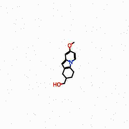 COc1ccn2c3c(cc2c1)CC(CO)CC3